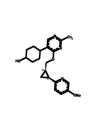 COc1ccc([C@H]2C[C@@H]2COc2nc(C)ncc2C2CCC(O)CC2)nc1